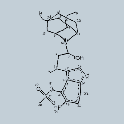 CC(CC(O)N1C2CC3(C)CC1CC(C)(C2)C3)c1c[nH]c2ccc(F)c(OS(C)(=O)=O)c12